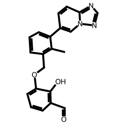 Cc1c(COc2cccc(C=O)c2O)cccc1-c1ccc2ncnn2c1